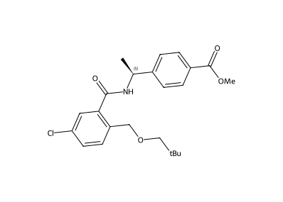 COC(=O)c1ccc([C@H](C)NC(=O)c2cc(Cl)ccc2COCC(C)(C)C)cc1